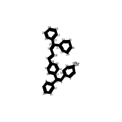 Brc1ccc(C=C(c2ccccc2)c2ccc(C=CC=C(c3ccccc3)c3ccccc3)cc2)cc1